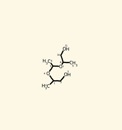 CC(CO)OC(C)OC(C)CO